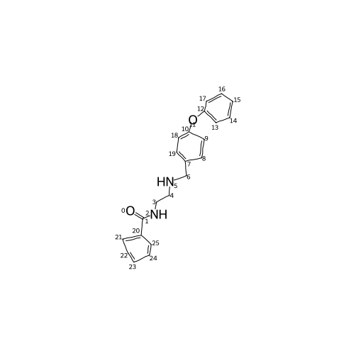 O=C(NCCNCc1ccc(Oc2ccccc2)cc1)c1ccccc1